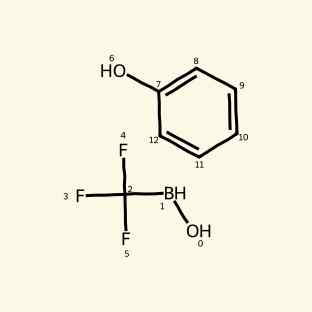 OBC(F)(F)F.Oc1ccccc1